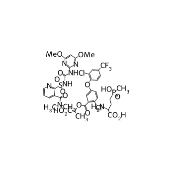 COc1cc(OC)nc(NC(=O)NS(=O)(=O)c2ncccc2C(=O)N(C)C)n1.CP(=O)(O)CCC(N)C(=O)O.C[C@H](OC(=O)c1cc(Oc2ccc(C(F)(F)F)cc2Cl)ccc1Cl)C(=O)O